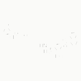 O=C(Oc1ccc([C@@H](O)CNCCCCCCOCCOCc2c(Cl)cccc2Cl)cc1CO)c1cccc2ccccc12